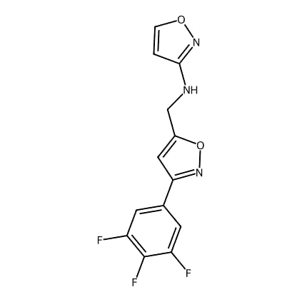 Fc1cc(-c2cc(CNc3ccon3)on2)cc(F)c1F